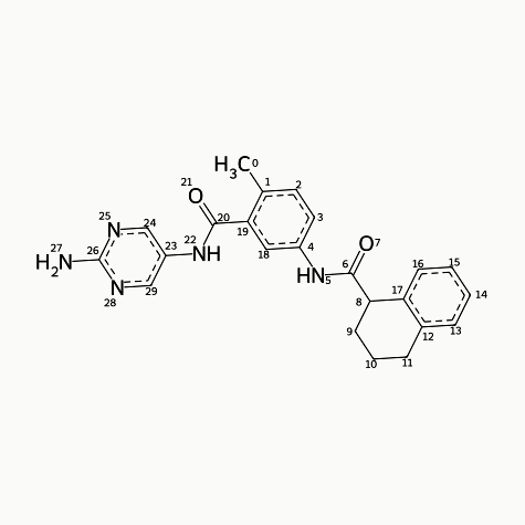 Cc1ccc(NC(=O)C2CCCc3ccccc32)cc1C(=O)Nc1cnc(N)nc1